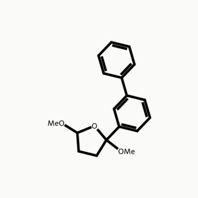 COC1CCC(OC)(c2cccc(-c3ccccc3)c2)O1